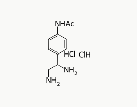 CC(=O)Nc1ccc(C(N)CN)cc1.Cl.Cl